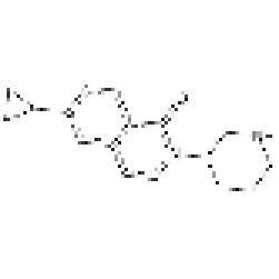 O=c1c2ccc(C3CC3)cc2ccn1C1CCCNC1